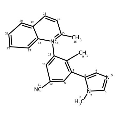 Cc1c(-c2cncn2C)cc(C#N)cc1-[n+]1c(C)ccc2ccccc21